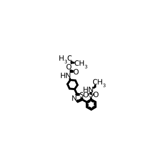 CCNS(=O)(=O)c1ccccc1-c1cnc(C2CCC(NC(=O)OC(C)C)CC2)s1